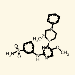 COc1cnc(Nc2cccc(S(N)(=O)=O)c2)nc1N1CCN(c2ccccc2)C[C@H]1C